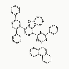 C1=Cc2c(cc(-c3nc(-c4ccccc4)nc(-c4ccc(-c5cc(-c6ccccc6)ccc5-c5ccccc5)c5oc6ccccc6c45)n3)c3ccccc23)CC1